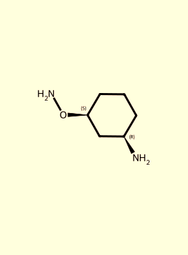 NO[C@H]1CCC[C@@H](N)C1